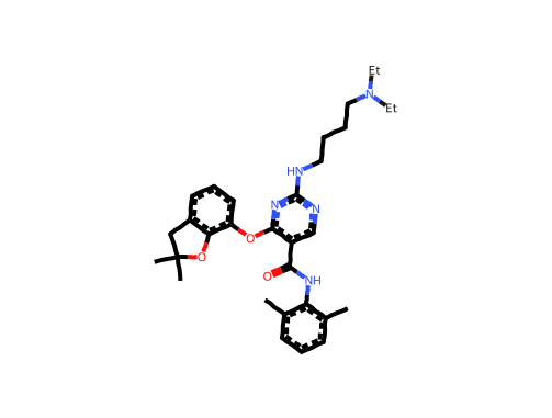 CCN(CC)CCCCNc1ncc(C(=O)Nc2c(C)cccc2C)c(Oc2cccc3c2OC(C)(C)C3)n1